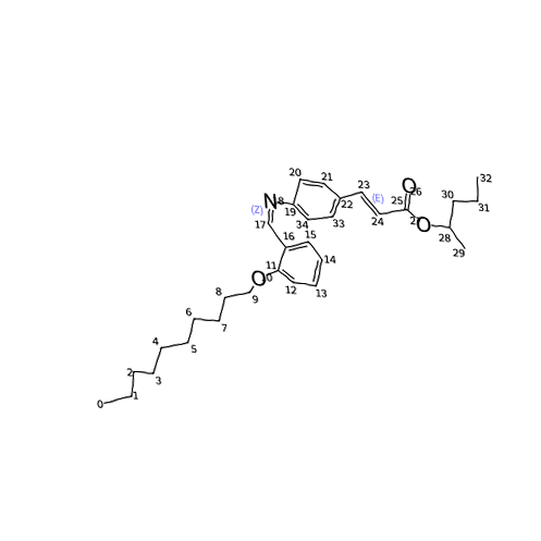 CCCCCCCCCCOc1ccccc1/C=N\c1ccc(/C=C/C(=O)OC(C)CCC)cc1